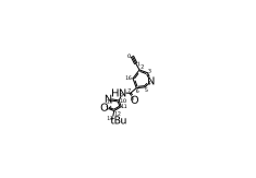 C#Cc1cncc(C(=O)Nc2cc(C(C)(C)C)on2)c1